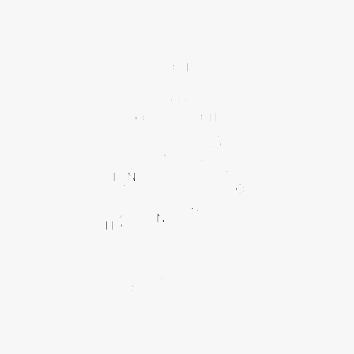 CCOC(=O)C(CC)Oc1c2c(N)c(C)n(Cc3ccccc3)c2cc2c(=O)c(=O)c12